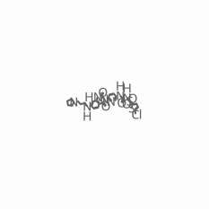 O=C(Nc1ccc(-n2c(=O)[nH]c3cc(NCCCN4CCCC4)ccc3c2=O)nc1)NS(=O)(=O)c1ccc(Cl)s1